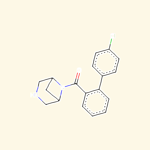 O=C(c1ccccc1-c1ccc(Cl)cc1)N1C2CNCC1C2